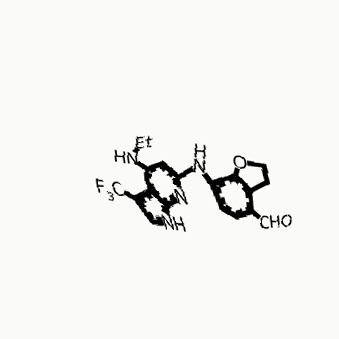 CCNc1cc(Nc2ccc(C=O)c3c2OCC3)nc2[nH]cc(C(F)(F)F)c12